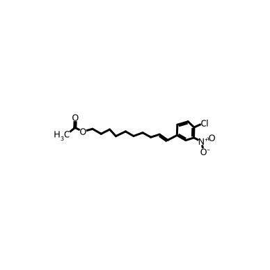 CC(=O)OCCCCCCCC/C=C/c1ccc(Cl)c([N+](=O)[O-])c1